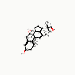 CC(C)(C=O)[C@H]1CC[C@H]2[C@@H]3C(O)CC4=CC(=O)CC[C@]4(C)[C@H]3CC[C@]12C